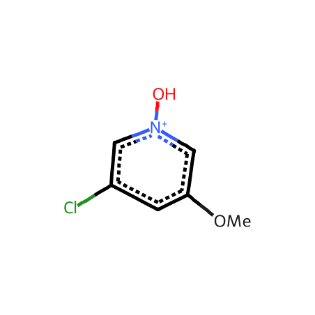 COc1cc(Cl)c[n+](O)c1